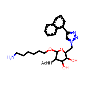 CC(=O)NC1C(OCCCCCCN)OC(Cn2cc(-c3cccc4ccccc34)nn2)C(O)C1O